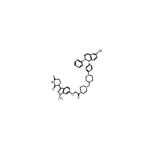 Cn1nc(C2CCC(=O)NC2=O)c2ccc(OCC(=O)N3CCN(CC4CCN(c5ccc([C@@H]6c7ccc(O)cc7CC[C@@H]6c6ccccc6)cc5)CC4)CC3)cc21